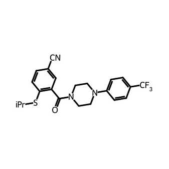 CC(C)Sc1ccc(C#N)cc1C(=O)N1CCN(c2ccc(C(F)(F)F)cc2)CC1